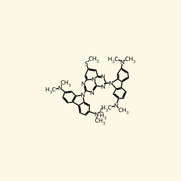 CSC1=CC2=NC(n3c4cc(N(C)C)ccc4c4ccc(N(C)C)cc43)=NC3=NC(n4c5cc(N(C)C)ccc5c5ccc(N(C)C)cc54)=NC(=C1)N23